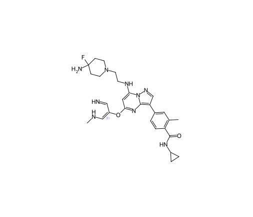 CN/C=C(\C=N)Oc1cc(NCCN2CCC(N)(F)CC2)n2ncc(-c3ccc(C(=O)NC4CC4)c(C)c3)c2n1